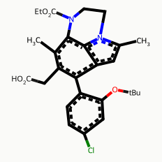 CCOC(=O)N1CCn2c(C)cc3c(-c4ccc(Cl)cc4OC(C)(C)C)c(CC(=O)O)c(C)c1c32